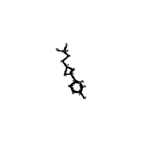 Cc1ccc(C2=CC(CCN(C)C)C2)nc1